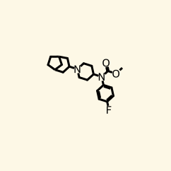 COC(=O)N(c1ccc(F)cc1)C1CCN(C2CC3CCC(C3)C2)CC1